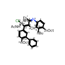 CCCCCCCCc1ccc(N=C(CC)C(C)=[C](c2ccc(CCCCCCCC)c(-c3ccccc3)c2)[Ni]([Cl])([NH]C(C)=O)[NH]C(C)=O)cc1CCCC